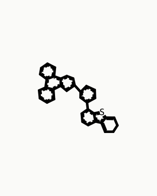 C1=c2sc3c(-c4cccc(-c5ccc6c7ccccc7c7ccccc7c6c5)c4)cccc3c2=CCC1